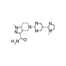 Cn1ccnc1-c1cnc(N2CCc3c(c(C(N)=O)nn3C)C2)nc1